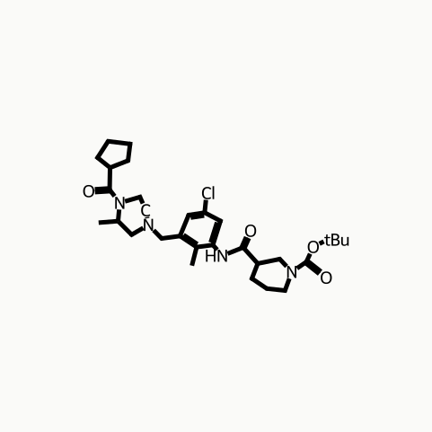 Cc1c(CN2CCN(C(=O)C3CCCC3)C(C)C2)cc(Cl)cc1NC(=O)C1CCCN(C(=O)OC(C)(C)C)C1